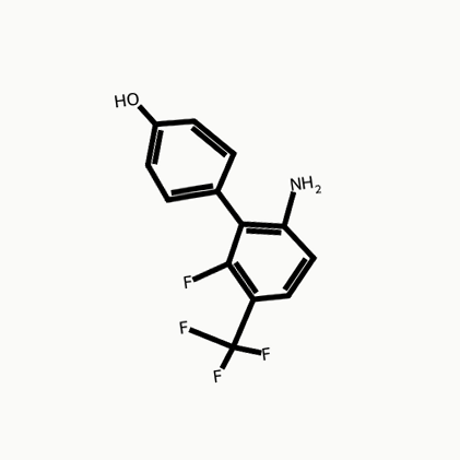 Nc1ccc(C(F)(F)F)c(F)c1-c1ccc(O)cc1